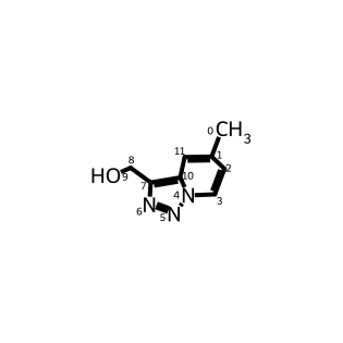 Cc1ccn2nnc(CO)c2c1